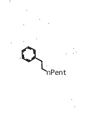 CCCCCCCc1c[c]ccc1